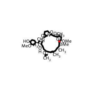 C=CC[C@H]1/C=C(/C)C[C@@H](C)C[C@@H](OC)[C@@H]2O[C@@](O)(C(=O)C(=O)N3CCCCC3C(=O)O[C@H](C(C)C[C@@H]3CC[C@@H](O)[C@H](OC)C3)[C@H](C)[C@@H](O)CC1=O)[C@H](C)C[C@@H]2OC